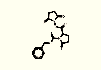 O=C(ON1C(=O)CCC1=O)C1CCC(=O)N1C(=O)OCc1ccccc1